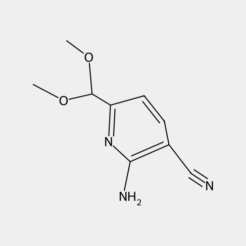 COC(OC)c1ccc(C#N)c(N)n1